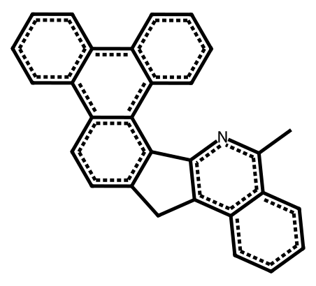 Cc1nc2c(c3ccccc13)Cc1ccc3c4ccccc4c4ccccc4c3c1-2